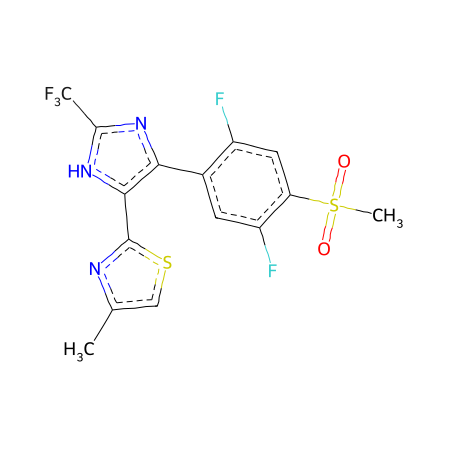 Cc1csc(-c2[nH]c(C(F)(F)F)nc2-c2cc(F)c(S(C)(=O)=O)cc2F)n1